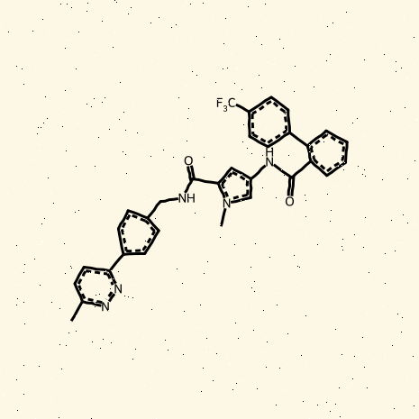 Cc1ccc(-c2ccc(CNC(=O)c3cc(NC(=O)c4ccccc4-c4ccc(C(F)(F)F)cc4)cn3C)cc2)nn1